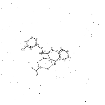 CC(C)N1CCC2(CC1)Nc1ccccc1N=C2NCc1cccc(Cl)c1